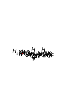 Cn1ncc2cc(Nc3cccc4c3C(=O)N(CC(=O)Nc3cc(C(F)(F)F)cc(Cn5ncc6cc(Nc7cccc8c7C(=O)N(CC(=O)N7CCCC7C(F)F)C8)cnc65)n3)C4)cnc21